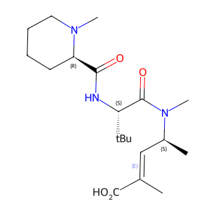 C/C(=C\[C@H](C)N(C)C(=O)[C@@H](NC(=O)[C@H]1CCCCN1C)C(C)(C)C)C(=O)O